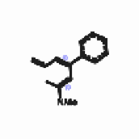 C=C/C=C(\C=C(/C)NC)c1ccccc1